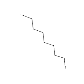 [CH2]CCCCCCCI